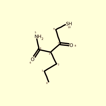 CCCC(C(N)=O)C(=O)CS